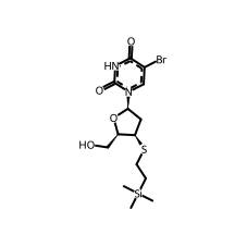 C[Si](C)(C)CCS[C@@H]1C[C@H](n2cc(Br)c(=O)[nH]c2=O)O[C@@H]1CO